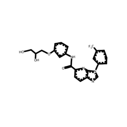 O=C(Nc1cccc(OCC(O)CO)c1)c1ccc2ncn(-c3cccc(C(F)(F)F)c3)c2n1